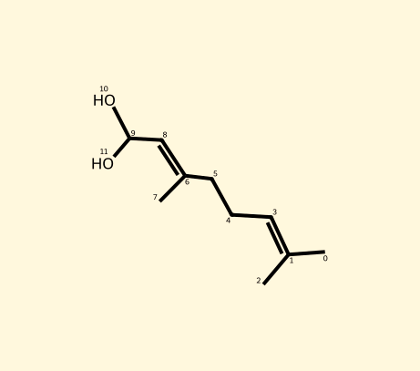 CC(C)=CCC/C(C)=C/C(O)O